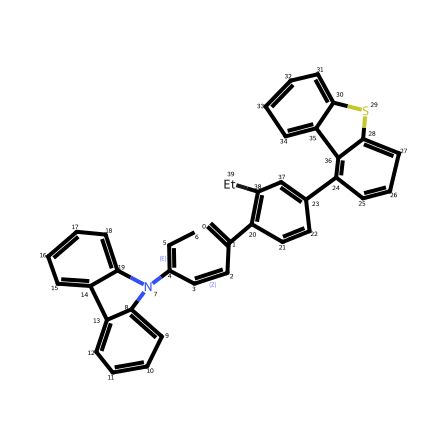 C=C(/C=C\C(=C/C)n1c2ccccc2c2ccccc21)c1ccc(-c2cccc3sc4ccccc4c23)cc1CC